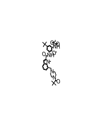 COc1c(NC(=O)c2cc3cccc(CN4CCN(C(=O)C(C)(C)C)CC4)c3n2C)cc(C(C)(C)C)cc1NS(C)(=O)=O